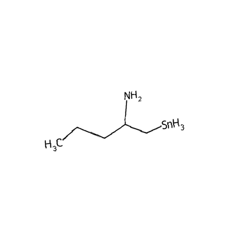 CCCC(N)[CH2][SnH3]